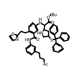 CC(=O)CCCc1cccc(NC(=O)c2cc(NC(C(=O)OC(C)(C)C)C3CC(SC(c4ccccc4)(c4ccccc4)c4ccccc4)CN3)ccc2CCc2nccs2)c1